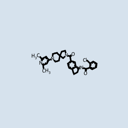 Cc1cc(N2CCC3(CCN(C(=O)c4ccc5c(c4)[C@H](NC(=O)c4ccccc4Cl)CC5)C3)CC2)cc(C)n1